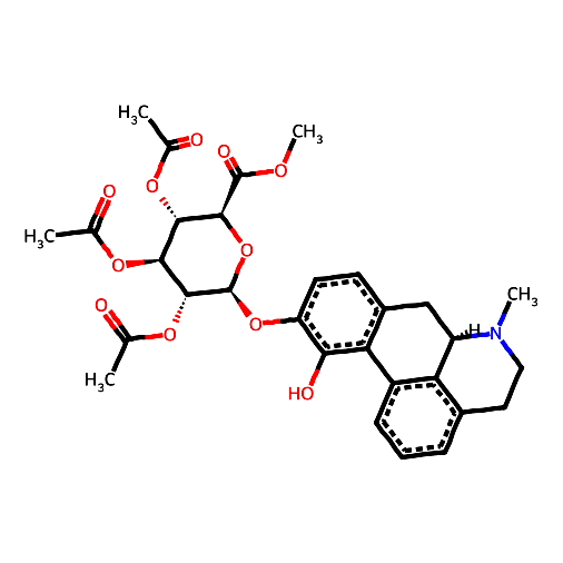 COC(=O)[C@H]1O[C@@H](Oc2ccc3c(c2O)-c2cccc4c2[C@@H](C3)N(C)CC4)[C@H](OC(C)=O)[C@@H](OC(C)=O)[C@@H]1OC(C)=O